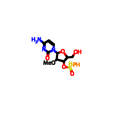 COC1C(O[SH](=O)=P)C(CO)OC1n1ccc(N)nc1=O